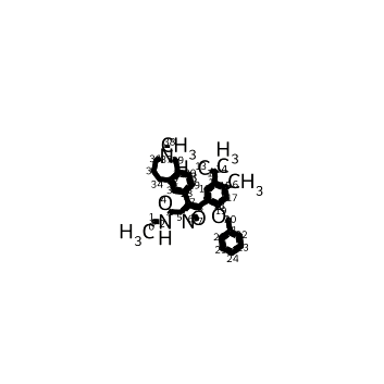 CCNC(=O)c1noc(-c2cc(C(C)C)c(C)cc2OCc2ccccc2)c1-c1ccc2c(c1)CCCN(C)C2